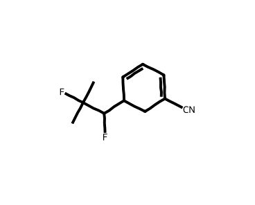 CC(C)(F)C(F)C1C=CC=C(C#N)C1